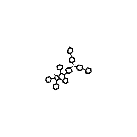 c1ccc(-c2ccc(N(c3ccc(-c4ccccc4)cc3)c3ccc(-c4c(-c5ccccc5)c5sc(-c6ccccc6)c(-c6ccccc6)c5c5ccccc45)cc3)cc2)cc1